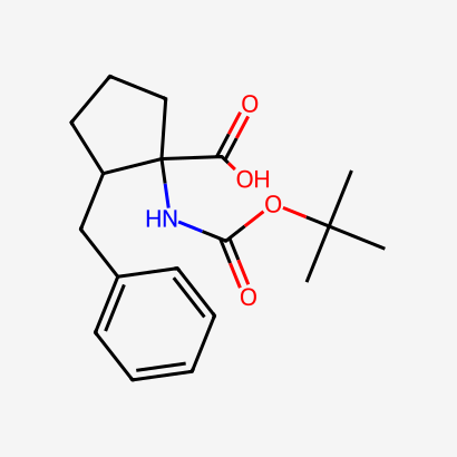 CC(C)(C)OC(=O)NC1(C(=O)O)CCCC1Cc1ccccc1